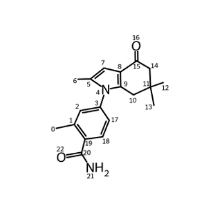 Cc1cc(-n2c(C)cc3c2CC(C)(C)CC3=O)ccc1C(N)=O